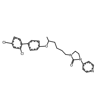 CC(CCCCN1CCN(c2ccncc2)C1=O)Oc1ccc(-c2ccc(Cl)cc2Cl)cc1